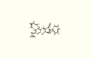 CCCOc1ccc(/C=C2\C(=O)NN(c3ccccc3)C2=O)c2ccncc12